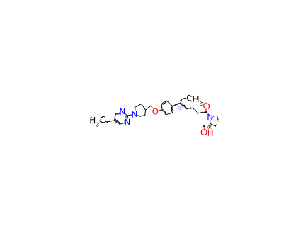 CC/C(=C\CCC(=O)N1CCC[C@@H]1CO)c1ccc(OCC2CCN(c3ncc(CC)cn3)CC2)cc1